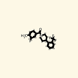 Cc1ccc(C(=O)N2CCC(c3ccccc3C(F)(F)F)CC2)cc1F